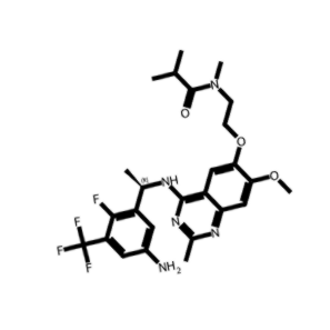 COc1cc2nc(C)nc(N[C@H](C)c3cc(N)cc(C(F)(F)F)c3F)c2cc1OCCN(C)C(=O)C(C)C